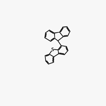 c1ccc2c(c1)-c1ccccc1C2c1cccc2c1sc1ccccc12